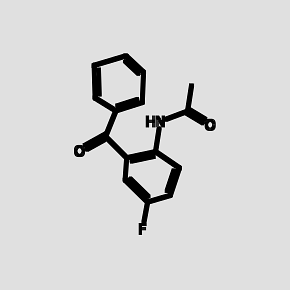 CC(=O)Nc1ccc(F)cc1C(=O)c1ccccc1